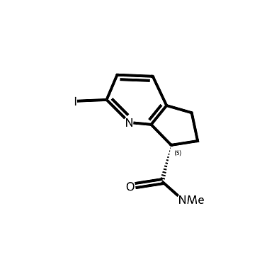 CNC(=O)[C@H]1CCc2ccc(I)nc21